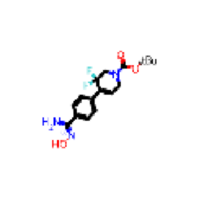 CC(C)(C)OC(=O)N1CC=C(c2ccc(/C(N)=N/O)cc2)C(F)(F)C1